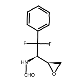 O=CN[C@H]([C@H]1CO1)C(F)(F)c1ccccc1